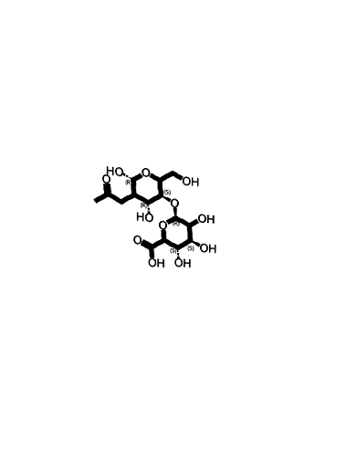 CC(=O)CC1[C@H](O)OC(CO)[C@@H](O[C@@H]2OC(C(=O)O)[C@@H](O)[C@H](O)C2O)[C@@H]1O